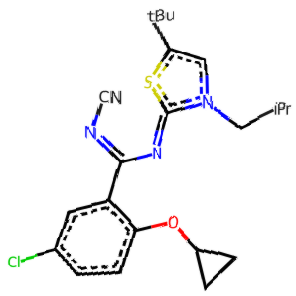 CC(C)Cn1cc(C(C)(C)C)sc1=NC(=NC#N)c1cc(Cl)ccc1OC1CC1